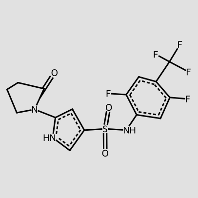 O=C1CCCN1c1cc(S(=O)(=O)Nc2cc(F)c(C(F)(F)F)cc2F)c[nH]1